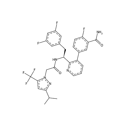 CC(C)c1cc(C(F)(F)F)n(CC(=O)N[C@@H](Cc2cc(F)cc(F)c2)c2ncccc2-c2ccc(F)c(C(N)=O)c2)n1